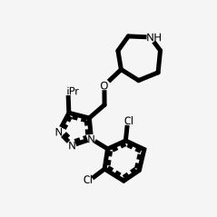 CC(C)c1nnn(-c2c(Cl)cccc2Cl)c1COC1CCCNCC1